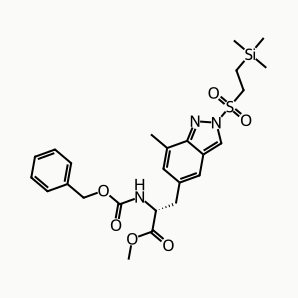 COC(=O)[C@@H](Cc1cc(C)c2nn(S(=O)(=O)CC[Si](C)(C)C)cc2c1)NC(=O)OCc1ccccc1